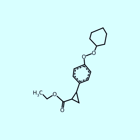 CCOC(=O)C1CC1c1ccc(OOC2CCCCC2)cc1